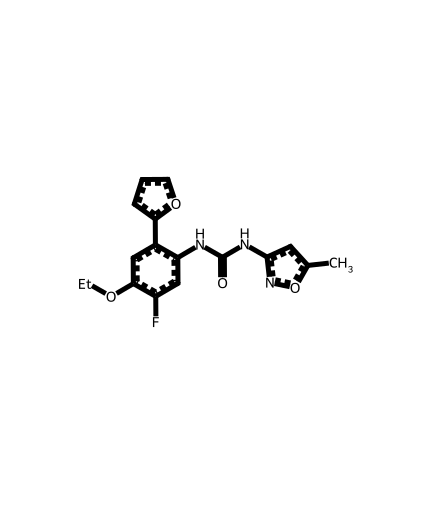 CCOc1cc(-c2ccco2)c(NC(=O)Nc2cc(C)on2)cc1F